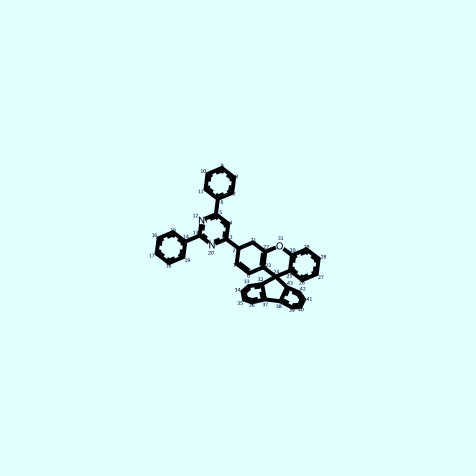 C1=CC(c2cc(-c3ccccc3)nc(-c3ccccc3)n2)CC2=C1C1(c3ccccc3O2)c2ccccc2-c2ccccc21